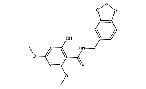 COc1cc(O)c(C(=O)NCc2ccc3c(c2)OCO3)c(OC)c1